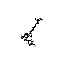 O=C(O)CCCCCCCNN[C@@H](Cc1ccc(Cl)cc1)C(=O)O